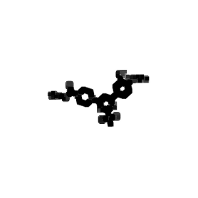 COc1ccc(-c2cc(N3CCN(C(=O)OC(C)(C)C)CC3)nc(S(C)(=O)=O)n2)cc1C(F)(F)F